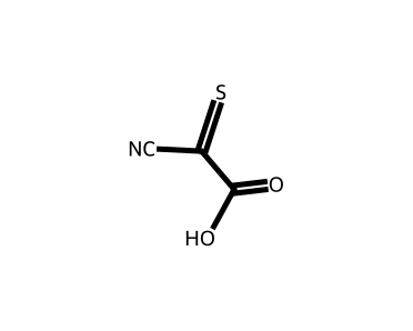 N#CC(=S)C(=O)O